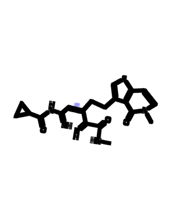 CNC(=O)C(=N)/C(=C\C(=N)NC(=O)C1CC1)CCc1csc2ccn(C)c(=O)c12